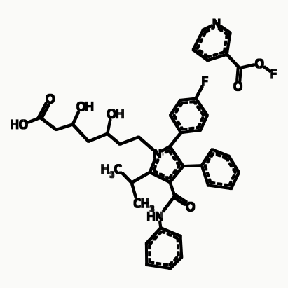 CC(C)c1c(C(=O)Nc2ccccc2)c(-c2ccccc2)c(-c2ccc(F)cc2)n1CCC(O)CC(O)CC(=O)O.O=C(OF)c1cccnc1